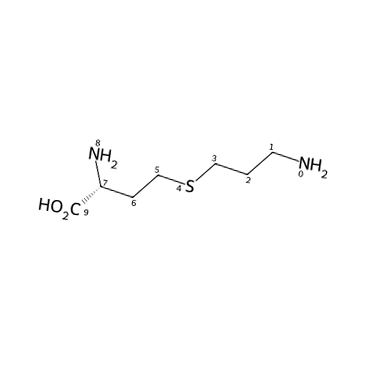 NCCCSCC[C@@H](N)C(=O)O